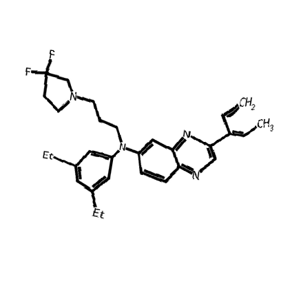 C=C/C(=C\C)c1cnc2ccc(N(CCCN3CCC(F)(F)C3)c3cc(CC)cc(CC)c3)cc2n1